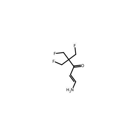 NC=CC(=O)C(CF)(CF)CF